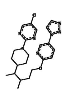 CC(CCOc1ccc(-n2ccnn2)cn1)C(C)C1CCN(c2ncc(Cl)cn2)CC1